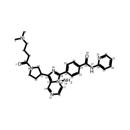 CN(C)CCCC(=O)N1CCC(C2=C3C=NC=C[N+]3(N)C(c3ccc(C(=O)Nc4ccccn4)cc3)=N2)C1